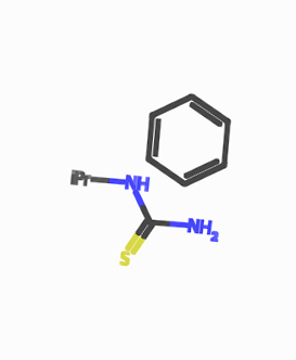 CC(C)NC(N)=S.c1ccccc1